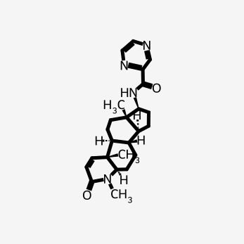 CN1C(=O)C=C[C@]2(C)[C@H]3CC[C@]4(C)[C@@H](NC(=O)c5cnccn5)CC[C@H]4[C@@H]3CC[C@@H]12